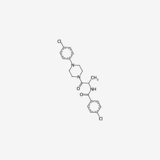 CC(NC(=O)c1ccc(Cl)cc1)C(=O)N1CCN(c2ccc(Cl)cc2)CC1